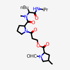 CCCCC(C(=O)NC(C)C)N(C)C(=O)C1CCCN1C(=O)CCOC(=O)C1CC(C)CN1C=O